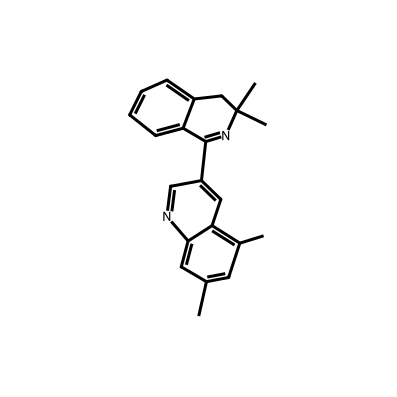 Cc1cc(C)c2cc(C3=NC(C)(C)Cc4ccccc43)cnc2c1